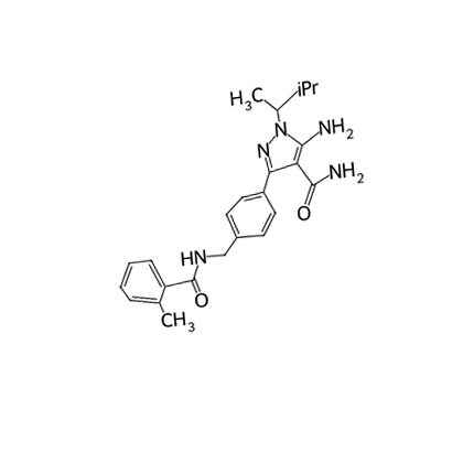 Cc1ccccc1C(=O)NCc1ccc(-c2nn(C(C)C(C)C)c(N)c2C(N)=O)cc1